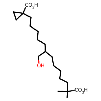 CC(C)(CCCCCC(CO)CCCCCC1(C(=O)O)CC1)C(=O)O